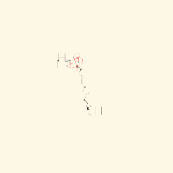 C=CC=CCCCCCCCC(OC)OC